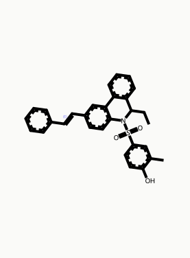 CCC1c2ccccc2-c2cc(/C=C/c3ccccc3)ccc2N1S(=O)(=O)c1ccc(O)c(C)c1